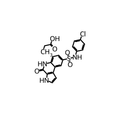 CCC(=O)O.O=c1[nH]c2ccc(S(=O)(=O)Nc3ccc(Cl)cc3)cc2c2cc[nH]c12